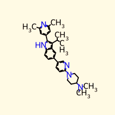 Cc1cc(-c2[nH]c3ccc(-c4ccc(N5CCC(N(C)C)CC5)nc4)cc3c2C(C)C)cc(C)n1